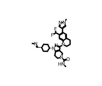 CN=C[C@H]1CC[C@H](n2nc(N3CCCc4cc(-c5cnn(C)c5)c(C(F)F)cc43)c3c2CCN(C(=O)NC)C3)CC1